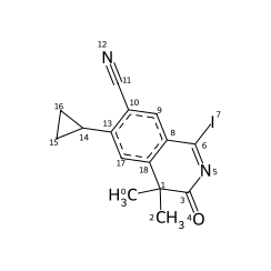 CC1(C)C(=O)N=C(I)c2cc(C#N)c(C3CC3)cc21